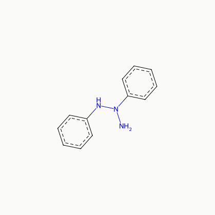 NN(Nc1ccccc1)c1ccccc1